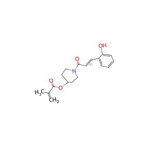 C=C(C)C(=O)OC1CCN(C(=O)/C=C/c2ccccc2O)CC1